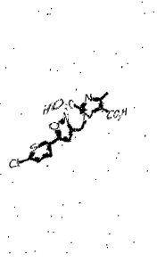 Cc1nc(C(=O)O)n(Cc2cc(-c3ccc(Cl)s3)on2)c1C(=O)O